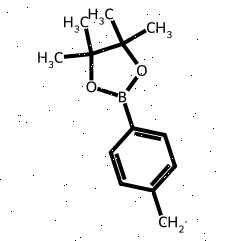 [CH2]c1ccc(B2OC(C)(C)C(C)(C)O2)cc1